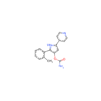 Cc1ccccc1-c1[nH]c(-c2ccncc2)cc1OC(N)=O